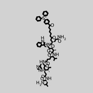 CC[C@H](C)[C@@H](CCC(=O)N[C@@H](CC(C)C)C(N)=O)CC(=O)[C@H](Cc1c[nH]cn1)NC(=O)CCC(=O)[C@@H](NC(=O)[C@H](C)CC(=O)[C@H](Cc1c[nH]c2ccccc12)NC(=O)[C@H](CCC(N)=O)CC(=O)CCCCCC(=O)c1ccc([S+](c2ccccc2)c2ccccc2)cc1)C(C)C